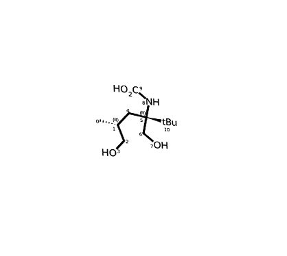 C[C@@H](CO)C[C@@](CO)(NC(=O)O)C(C)(C)C